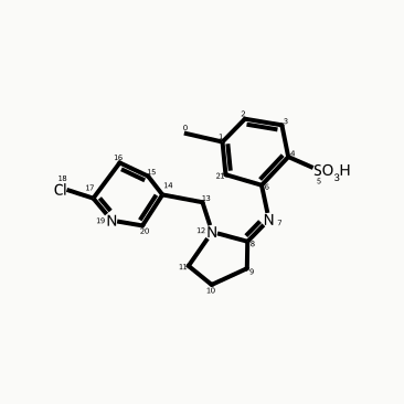 Cc1ccc(S(=O)(=O)O)c(N=C2CCCN2Cc2ccc(Cl)nc2)c1